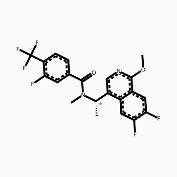 COc1ncc([C@H](C)N(C)C(=O)c2ccc(C(F)(F)F)c(F)c2)c2cc(F)c(F)cc12